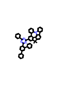 CC1(C)c2cc(-c3nc(-c4ccccc4)nc(-c4ccc(-c5ccccc5)cc4-c4ccccc4)n3)cc3c2-c2c1ccc1c4ccccc4n(c21)-c1ccccc1-3